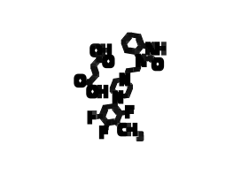 Cc1c(F)c(F)cc(N2CCN(CCn3c(=O)[nH]c4ccccc43)CC2)c1F.O=C(O)C=CC(=O)O